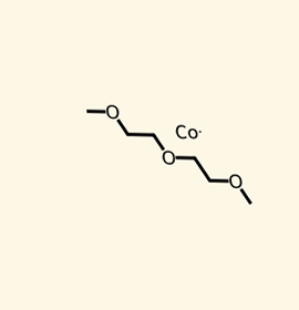 COCCOCCOC.[Co]